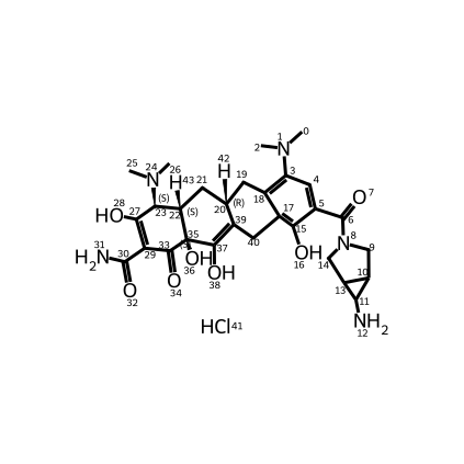 CN(C)c1cc(C(=O)N2CC3C(N)C3C2)c(O)c2c1C[C@H]1C[C@H]3[C@H](N(C)C)C(O)=C(C(N)=O)C(=O)[C@@]3(O)C(O)=C1C2.Cl